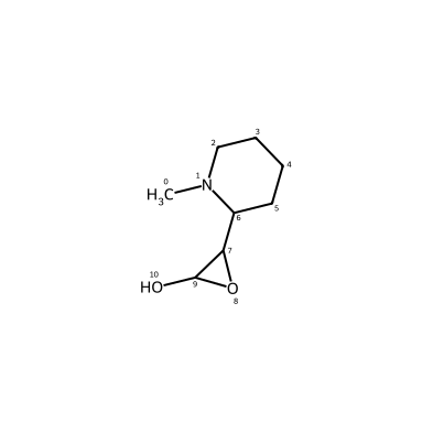 CN1CCCCC1C1OC1O